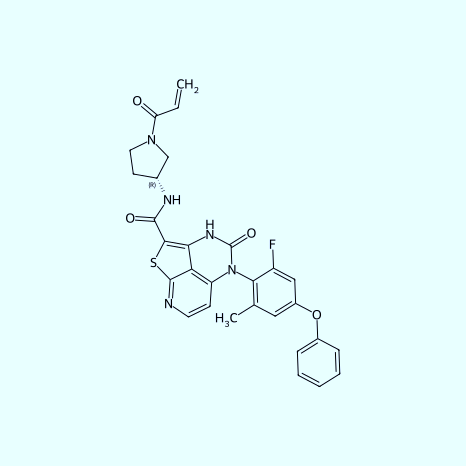 C=CC(=O)N1CC[C@@H](NC(=O)c2sc3nccc4c3c2NC(=O)N4c2c(C)cc(Oc3ccccc3)cc2F)C1